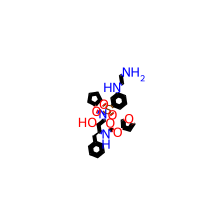 NCCNc1cccc(S(=O)(=O)N(C[C@H](O)[C@H](Cc2ccccc2)NC(=O)Oc2ccoc2)OC2CCCC2)c1